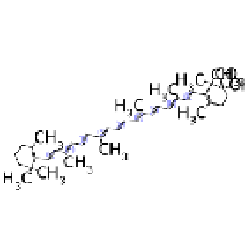 CC1=C(/C=C/C(C)=C/C=C/C(C)=C/C=C/C=C(C)/C=C/C=C(C)/C=C/C2=C(C)CCC(O)(C(=O)O)C2(C)C)C(C)(C)CCC1